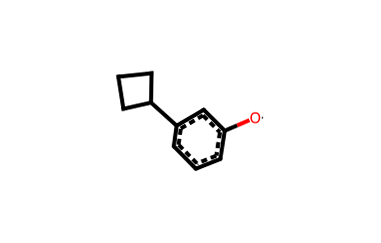 [O]c1cccc(C2CCC2)c1